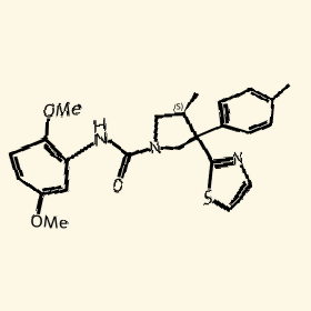 COc1ccc(OC)c(NC(=O)N2C[C@@H](C)C(c3ccc(C)cc3)(c3nccs3)C2)c1